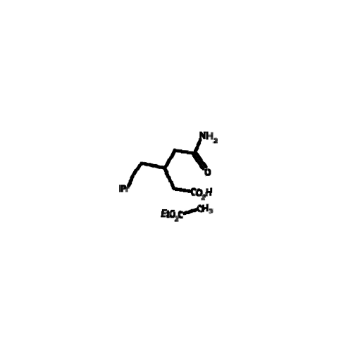 CC(C)CC(CC(N)=O)CC(=O)O.CCOC(C)=O